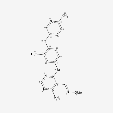 CON=Cc1c(N)ncnc1Nc1ccc(Oc2ccc(C)nc2)c(C)c1